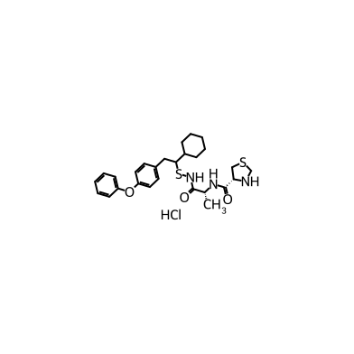 C[C@@H](NC(=O)[C@@H]1CSCN1)C(=O)NSC(Cc1ccc(Oc2ccccc2)cc1)C1CCCCC1.Cl